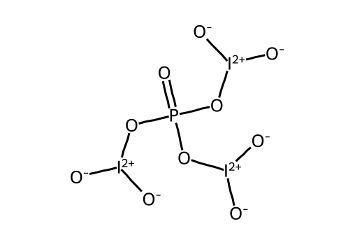 O=P(O[I+2]([O-])[O-])(O[I+2]([O-])[O-])O[I+2]([O-])[O-]